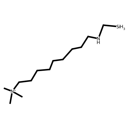 C[N+](C)(C)CCCCCCCCCNC[SiH3]